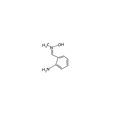 C[N+](O)=Cc1ccccc1N